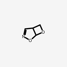 C1=NOC2OCC12